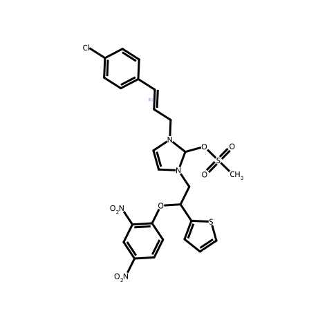 CS(=O)(=O)OC1N(C/C=C/c2ccc(Cl)cc2)C=CN1CC(Oc1ccc([N+](=O)[O-])cc1[N+](=O)[O-])c1cccs1